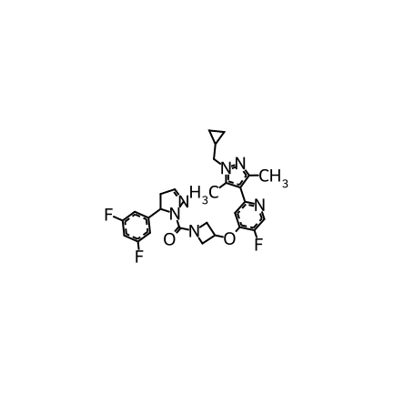 Cc1nn(CC2CC2)c(C)c1-c1cc(OC2CN(C(=O)N3N=CCC3c3cc(F)cc(F)c3)C2)c(F)cn1